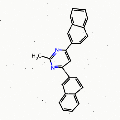 Cc1nc(-c2ccc3ccccc3c2)cc(-c2ccc3ccccc3c2)n1